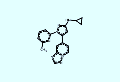 Cc1cccc(-n2nc(NC3CC3)cc2-c2ccn3ncnc3c2)n1